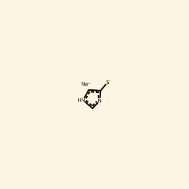 [Na+].[S-]c1c[nH]cn1